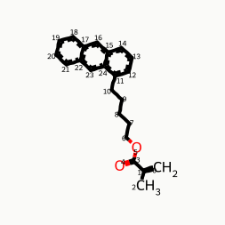 C=C(C)C(=O)OCCCCCc1cccc2cc3ccccc3cc12